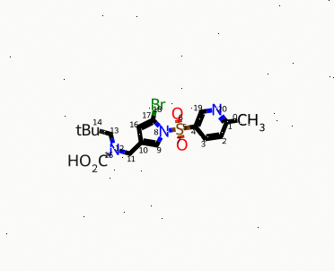 Cc1ccc(S(=O)(=O)n2cc(CN(CC(C)(C)C)C(=O)O)cc2Br)cn1